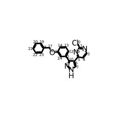 Clc1nccc(-c2c[nH]nc2-c2cccc(OCc3ccccc3)c2)n1